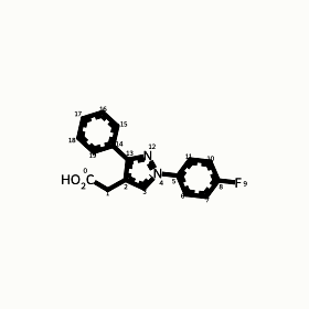 O=C(O)Cc1cn(-c2ccc(F)cc2)nc1-c1ccccc1